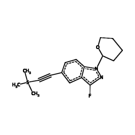 CS(C)(C)C#Cc1ccc2c(c1)c(F)nn2C1CCCCO1